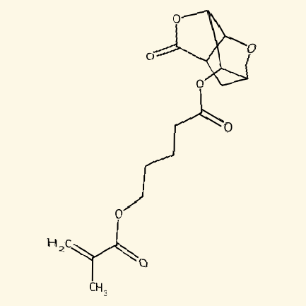 C=C(C)C(=O)OCCCCC(=O)OC1C2CC3C(=O)OC1C3O2